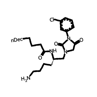 CCCCCCCCCCCCCC(=O)N[C@@H](CCCCN)CN1CC(=O)N(c2cccc(Cl)c2)C1=O